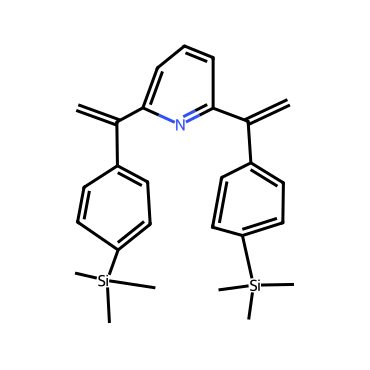 C=C(c1ccc([Si](C)(C)C)cc1)c1cccc(C(=C)c2ccc([Si](C)(C)C)cc2)n1